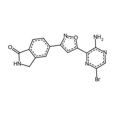 Nc1ncc(Br)nc1-c1cc(-c2ccc3c(c2)CNC3=O)no1